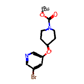 CC(C)(C)OC(=O)N1CCC(Oc2cncc(Br)c2)CC1